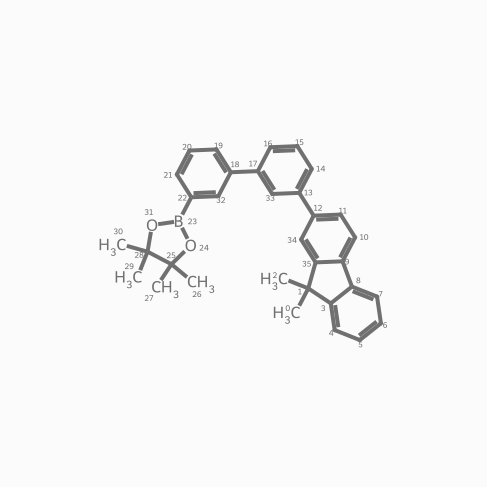 CC1(C)c2ccccc2-c2ccc(-c3cccc(-c4cccc(B5OC(C)(C)C(C)(C)O5)c4)c3)cc21